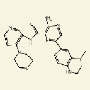 CC1CCNc2ccc(-c3cnc(N)c(C(=O)Nc4cnccc4N4CCOCC4)n3)cc21